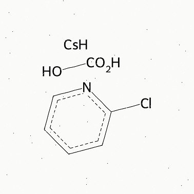 Clc1ccccn1.O=C(O)O.[CsH]